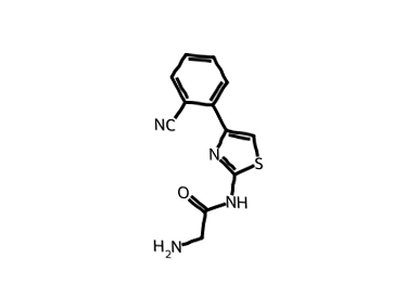 N#Cc1ccccc1-c1csc(NC(=O)CN)n1